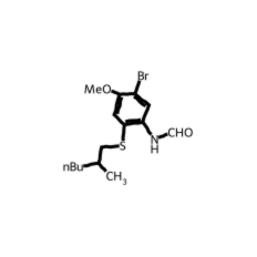 CCCCC(C)CSc1cc(OC)c(Br)cc1NC=O